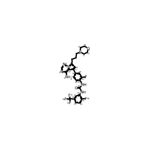 Nc1ncnn2c(CCCN3CCOCC3)cc(-c3ccc(NC(=O)Nc4cc(C(F)(F)F)ccc4F)c(F)c3)c12